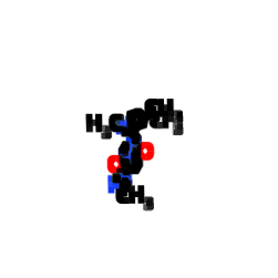 Cc1cn(-c2ccc3n(c2=O)CCN(Cc2cn(C)c4ccc(C(C)C(F)(F)F)cc24)C3=O)cn1